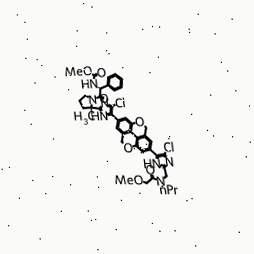 CCCN(Cc1nc(Cl)c(-c2cc3c4c(c2)OCc2cc(-c5[nH]c([C@]6(C)CCCN6C(=O)[C@H](NC(=O)OC)c6ccccc6)nc5Cl)cc(c2-4)OC3)[nH]1)C(=O)COC